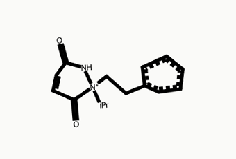 CC(C)[N+]1(CCc2ccccc2)NC(=O)C=CC1=O